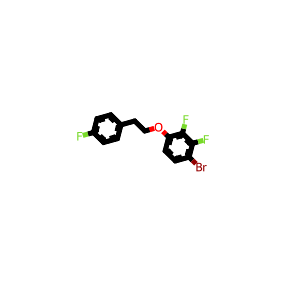 Fc1ccc(CCOc2ccc(Br)c(F)c2F)cc1